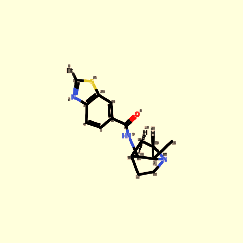 CCc1nc2ccc(C(=O)N[C@@H]3C4CCN(CC4)[C@H]3C)cc2s1